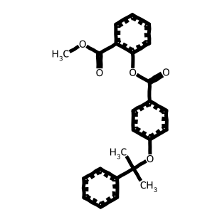 COC(=O)c1ccccc1OC(=O)c1ccc(OC(C)(C)c2ccccc2)cc1